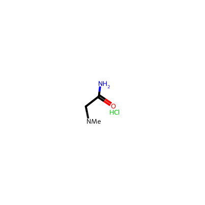 CNCC(N)=O.Cl